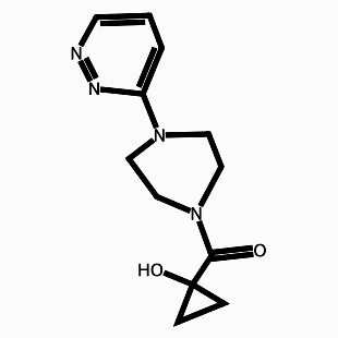 O=C(N1CCN(c2cccnn2)CC1)C1(O)CC1